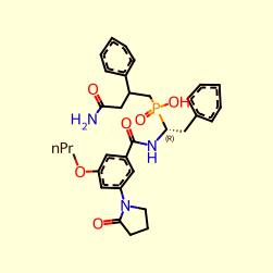 CCCOc1cc(C(=O)N[C@@H](Cc2ccccc2)P(=O)(O)CC(CC(N)=O)c2ccccc2)cc(N2CCCC2=O)c1